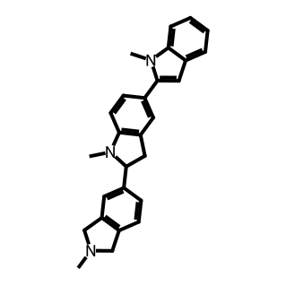 CN1Cc2ccc(C3Cc4cc(-c5cc6ccccc6n5C)ccc4N3C)cc2C1